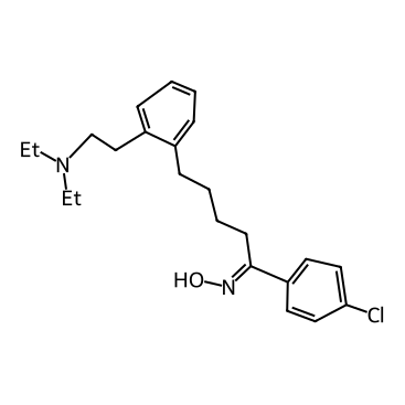 CCN(CC)CCc1ccccc1CCCCC(=NO)c1ccc(Cl)cc1